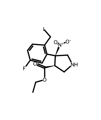 CCOC(=O)[C@@H]1CNC[C@]1(c1cc(F)ccc1CI)[N+](=O)[O-]